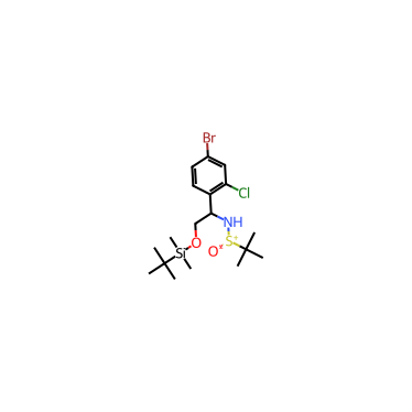 CC(C)(C)[S@+]([O-])NC(CO[Si](C)(C)C(C)(C)C)c1ccc(Br)cc1Cl